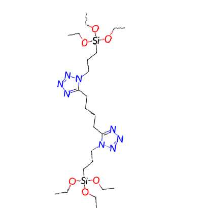 CCO[Si](CCCn1nnnc1CCCCc1nnnn1CCC[Si](OCC)(OCC)OCC)(OCC)OCC